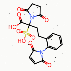 O=C1C=CC(=O)N1c1ccccc1CCC(C(=O)O)(N1C(=O)CCC1=O)S(=O)(=O)O